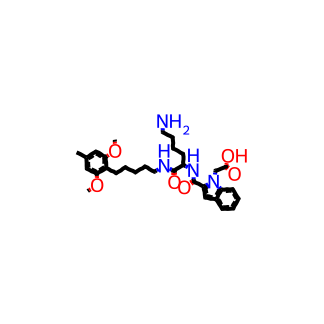 COc1cc(C)cc(OC)c1CCCCCNC(=O)C(CCCCN)NC(=O)c1cc2ccccc2n1CC(=O)O